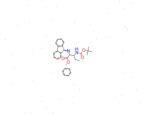 CCC(NC(=O)OC(C)(C)C)C(N=C1c2ccccc2-c2ccccc21)C(=O)OC.c1ccccc1